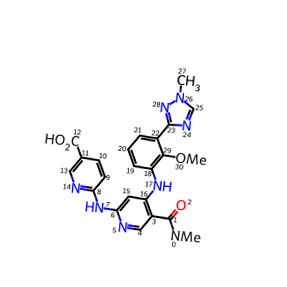 CNC(=O)c1cnc(Nc2ccc(C(=O)O)cn2)cc1Nc1cccc(-c2ncn(C)n2)c1OC